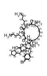 CC1(C(=O)N[C@@H](Cc2ccc(Br)cc2)C(=O)N[C@@H](CC2CCCC2)C(=O)O)CCC/C=C\CC(N)C(=O)N[C@@H](CCCCN)C(=O)N[C@@H](CCCCN)C(=O)N1